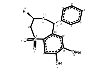 CC[C@@H]1CS(=O)(=O)c2cc(O)c(OC)cc2[C@@H](c2ccccc2)N1